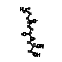 C=CC[S+]([O-])C=CC(=O)OCC(O)CO